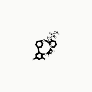 CS(=O)(=O)NC1CCCN2C(=O)C(F)(F)Oc3c(F)cc(F)cc3C3CCC(CC3)OC[C@@H]12